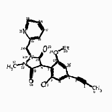 CC#Cc1cc(Cl)c(C2C(=O)N(C)N(Cc3ccccn3)C2=O)c(OCC)c1